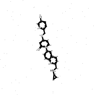 O=c1cc(OCc2ccc(Cl)cn2)ccn1-c1ccc2nc(CNC3CC3)ccc2c1